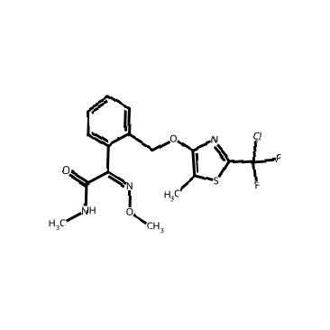 CNC(=O)C(=NOC)c1ccccc1COc1nc(C(F)(F)Cl)sc1C